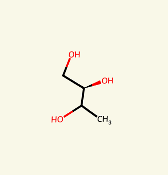 CC(O)[C@H](O)CO